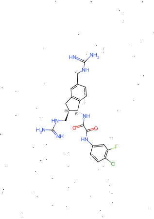 N=C(N)NCc1ccc2c(c1)C[C@H](CNC(=N)N)[C@H]2NC(=O)C(=O)Nc1ccc(Cl)c(F)c1